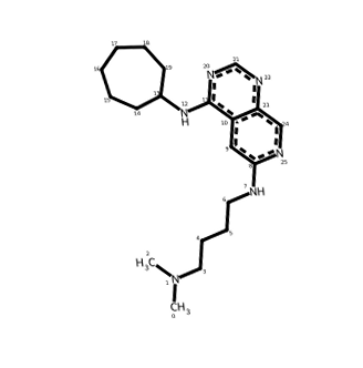 CN(C)CCCCNc1cc2c(NC3CCCCCC3)ncnc2cn1